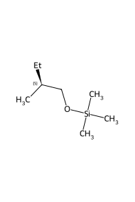 CC[C@H](C)CO[Si](C)(C)C